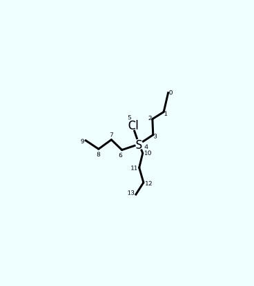 CCCCS(Cl)(CCCC)CCCC